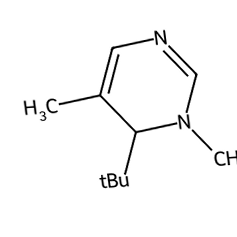 CC1=CN=CN(C)C1C(C)(C)C